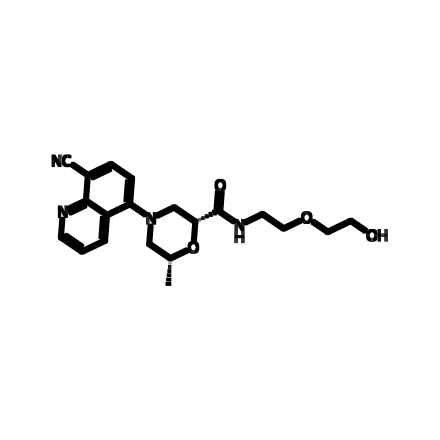 C[C@@H]1CN(c2ccc(C#N)c3ncccc23)C[C@H](C(=O)NCCOCCO)O1